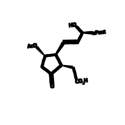 CCCCC[C@H](O)C=C[C@@H]1[C@@H](OC(C)=O)CC(=O)[C@H]1CC(=O)O